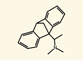 CC(N(C)C)C12CC(c3ccccc31)c1ccccc12